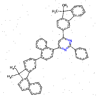 CC1(C)c2ccccc2-c2cc(-c3cc(-c4ccc(-c5ccc6c(c5)-c5c(ccc7ccccc57)C6(C)C)c5ccccc45)nc(-c4ccccc4)n3)ccc21